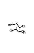 C=CCCl.CCCCCCl